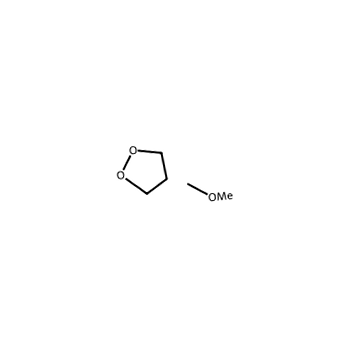 C1COOC1.COC